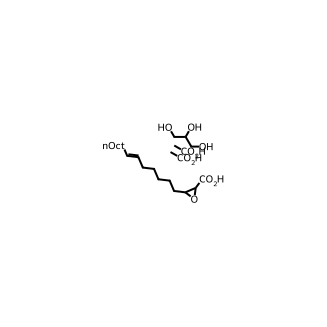 CC(=O)O.CC(=O)O.CCCCCCCCC=CCCCCCC1OC1C(=O)O.OCC(O)CO